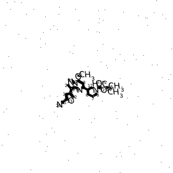 COc1cc(C2CCCN(C(=O)OC(C)(C)C)C2)nc2c(-c3coc(C#N)c3)cnn12